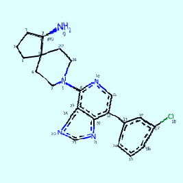 N[C@@H]1CCCC12CCN(c1ncc(-c3cccc(Cl)c3)c3ncncc13)CC2